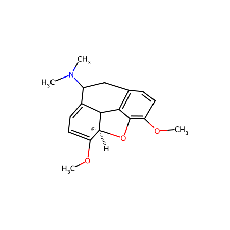 COC1=CC=C2C3c4c(ccc(OC)c4O[C@@H]13)CC2N(C)C